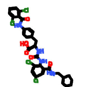 O=C(Nc1c(Cl)cc(Cl)cc1C(=O)NCC1CCCCC1)NC(Cc1ccc(NC(=O)c2c(Cl)cccc2Cl)cc1)C(=O)O